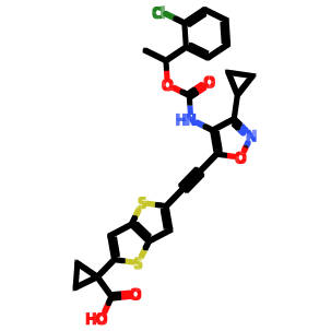 CC(OC(=O)Nc1c(C2CC2)noc1C#Cc1cc2sc(C3(C(=O)O)CC3)cc2s1)c1ccccc1Cl